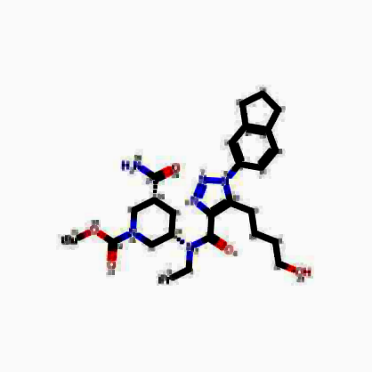 CC(C)CN(C(=O)c1nnn(-c2ccc3c(c2)CCC3)c1CCCCO)[C@H]1C[C@@H](C(N)=O)CN(C(=O)OC(C)(C)C)C1